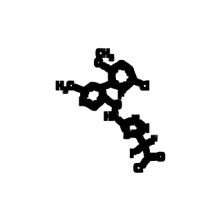 COc1ccc(Cl)c(F)c1-c1cc(C)ncc1C(=O)Nc1nnc(C(F)(F)C(=O)Cl)s1